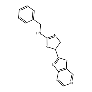 c1ccc(CNC2=NCC(c3nc4ccncc4s3)S2)cc1